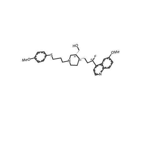 COc1ccc(SCCCN2CC[C@@H](CC[C@@H](F)c3ccnc4ccc(OC)cc34)[C@@H](CO)C2)cc1